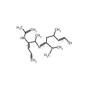 C=C/C=C(/NC(=C)C)C(C)/N=C(\CC(C)/C=C/CC)N(C)C